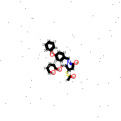 CC(=O)S[C@@H]1CC(=O)N(Cc2ccc(Oc3ccccc3)cc2)[C@H]1COC1CCCCO1